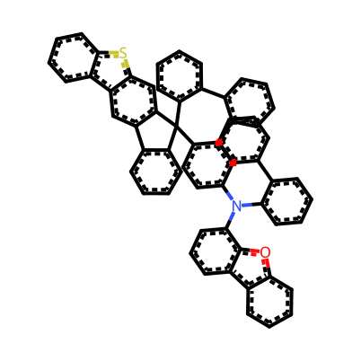 c1ccc(-c2ccccc2N(c2ccc3c(c2)-c2ccccc2-c2ccccc2C32c3ccccc3-c3cc4c(cc32)sc2ccccc24)c2cccc3c2oc2ccccc23)cc1